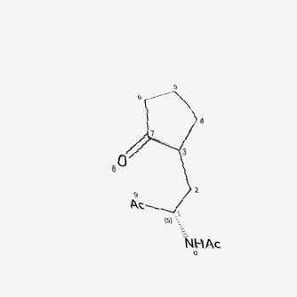 CC(=O)N[C@@H](CC1CCCC1=O)C(C)=O